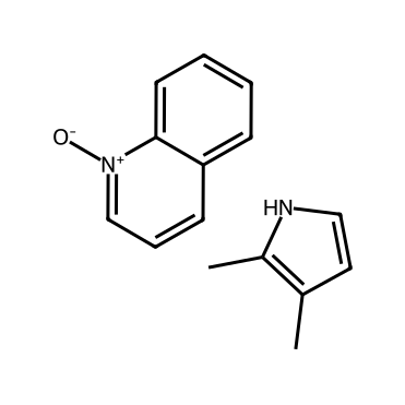 Cc1cc[nH]c1C.[O-][n+]1cccc2ccccc21